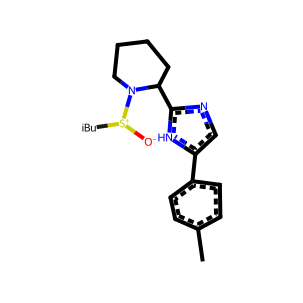 CCC(C)[S+]([O-])N1CCCCC1c1ncc(-c2ccc(C)cc2)[nH]1